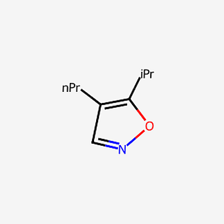 CCCc1cnoc1C(C)C